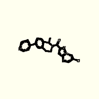 CC1c2ccc(-c3ccncc3)cc2CCN1C(=O)c1cc2ncc(Cl)cn2n1